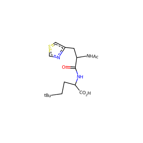 CC(=O)NC(Cc1cscn1)C(=O)NC(CCC(C)(C)C)C(=O)O